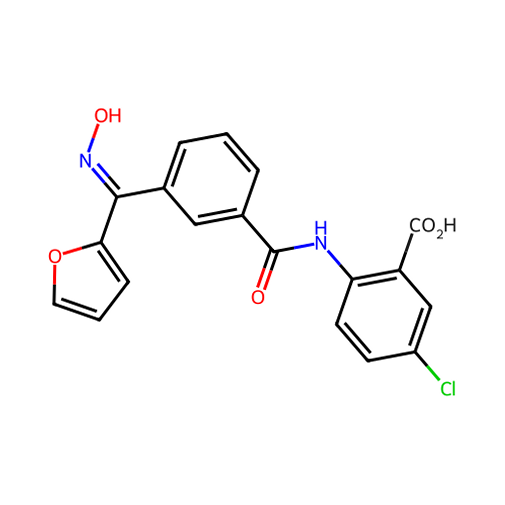 O=C(Nc1ccc(Cl)cc1C(=O)O)c1cccc(/C(=N\O)c2ccco2)c1